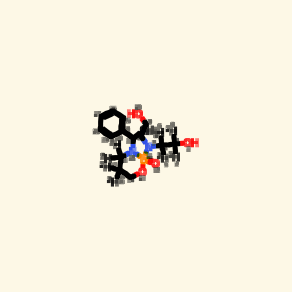 [2H]C([2H])(O)C([2H])([2H])N(CCO)P1(=O)OCC([2H])([2H])C([2H])([2H])N1C(C)c1ccccc1